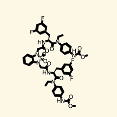 CCN(C(=O)[C@H](Cc1cc(F)cc(F)c1)NC(=O)CN1c2ccccc2N(CC(=O)N[C@@H](Cc2cc(F)cc(F)c2)C(=O)N(CC)c2ccc(NC(=O)OC)cc2)S1(=O)=O)c1ccc(NC(=O)OC)cc1